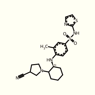 Cc1cc(S(=O)(=O)Nc2nccs2)ccc1N[C@H]1CCCCC1N1CCC(C#N)C1